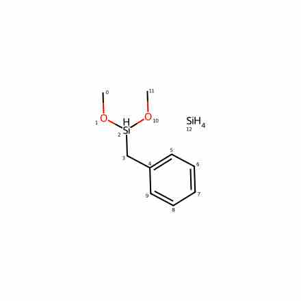 CO[SiH](Cc1ccccc1)OC.[SiH4]